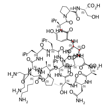 CC[C@H](C)[C@H](NC(=O)[C@H](CC(C)C)NC(=O)[C@H](CC(C)C)NC(=O)[C@H](CCCCN)NC(=O)[C@@H]1CCCN1C(=O)[C@H](C)NC(=O)[C@H](CCCCN)NC(=O)CN)C(=O)N[C@@H](Cc1ccc(O)cc1)C(=O)NCC(=O)N[C@@H](C)C(=O)N[C@@H](CC(N)=O)C(=O)N[C@H](C(=O)N[C@@H](CC(C)C)C(=O)N[C@@H](CCC(=O)O)C(=O)N[C@@H](C)C(=O)NCC(=O)N[C@H](C(=O)N1CCC[C@H]1C(=O)N[C@@H](CO)C(=O)O)C(C)C)[C@@H](C)O